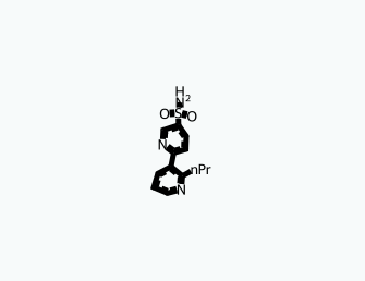 CCCc1ncccc1-c1ccc(S(N)(=O)=O)cn1